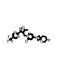 Cc1onc(-c2ncc(C(F)(F)F)cn2)c1Cn1ncc(N2CC3(CC[C@@H](F)CO3)C2)cc1=O